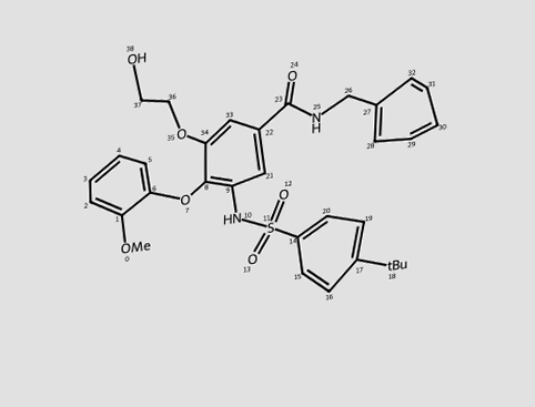 COc1ccccc1Oc1c(NS(=O)(=O)c2ccc(C(C)(C)C)cc2)cc(C(=O)NCc2ccccc2)cc1OCCO